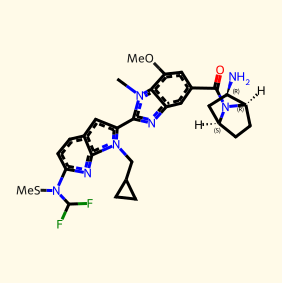 COc1cc(C(=O)N2[C@H]3CC[C@@H]2[C@H](N)C3)cc2nc(-c3cc4ccc(N(SC)C(F)F)nc4n3CC3CC3)n(C)c12